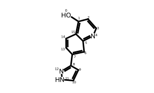 Oc1ccnc2cc(-c3cc[nH]n3)ccc12